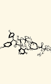 CC(C)(C)OC(=O)N[C@H](C(=O)Nc1cncc(F)c1CC[C@@H]1CN(C(=O)OC(C)(C)C)CCO1)C(c1ccc(F)cc1)c1ccc(F)cc1